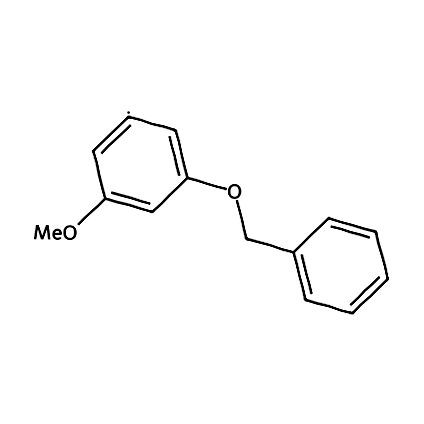 COc1c[c]cc(OCc2ccccc2)c1